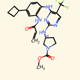 C=CC(=O)Nc1cc(C2CCC2)ccc1Nc1nc(N[C@H]2CCN(C(=O)OC)C2)ncc1C(F)(F)F